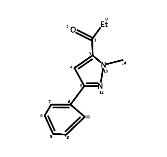 CCC(=O)c1cc(-c2ccccc2)nn1C